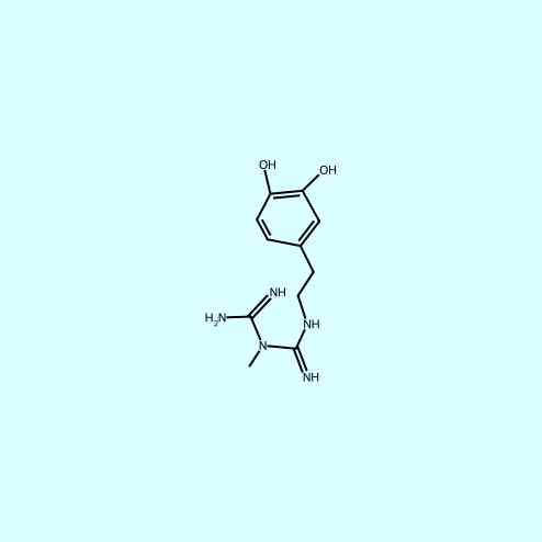 CN(C(=N)N)C(=N)NCCc1ccc(O)c(O)c1